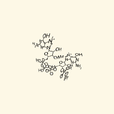 COC1C(O)[C@H](n2c[n+](C)c3c(O)nc(N)nc32)O[C@@H]1COP(=O)(O)OP(=O)(O)OP(=O)(O)OCC1OC(n2c[n+](C)c3c(O)nc(N)nc32)C(O)C1OP(=O)(O)OC(C)C